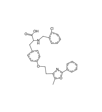 Cc1oc(-c2ccccc2)nc1CCOc1ccc(CC(NCc2ccccc2Cl)C(=O)O)cc1